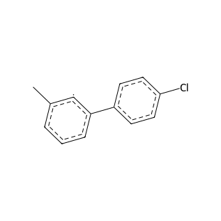 Cc1[c]c(-c2ccc(Cl)cc2)ccc1